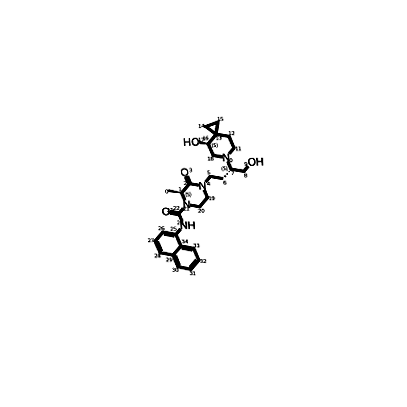 C[C@H]1C(=O)N(CC[C@@H](CO)N2CCC3(CC3)[C@H](O)C2)CCN1C(=O)Nc1cccc2ccccc12